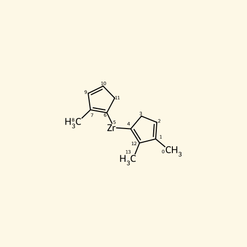 CC1=CC[C]([Zr][C]2=C(C)C=CC2)=C1C